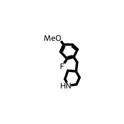 COc1ccc(CC2CCNCC2)c(F)c1